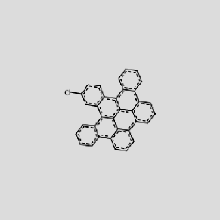 Clc1ccc2c(c1)c1c3ccccc3c3cccc4c5cccc6c7ccccc7c2c(c65)c1c34